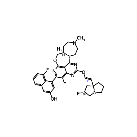 CN1CC[C@@H]2COc3nc(-c4cc(O)cc5cccc(F)c45)c(F)c4nc(O/C=C/C56CCCN5C[C@H](F)C6)nc(c34)N2CC1